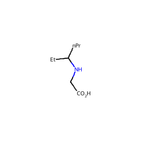 CCCC(CC)NCC(=O)O